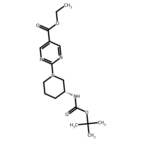 CCOC(=O)c1cnc(N2CCC[C@@H](NC(=O)OC(C)(C)C)C2)nc1